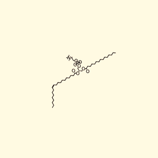 CCCCCCCC/C=C\CCCCCCCCCC(=O)O[C@H](COC(=O)CCCCCCCCCCCCCC)COP(=O)([O-])OCC[N+](C)(C)C